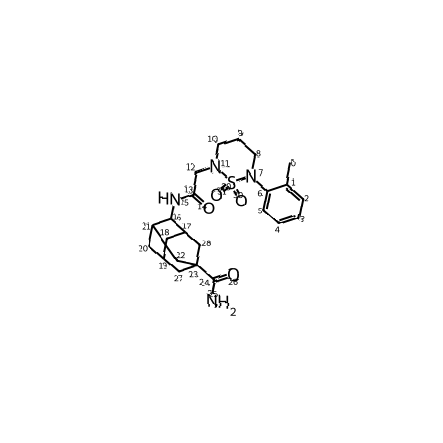 Cc1ccccc1N1CCCN(CC(=O)NC2C3CC4CC2CC(C(N)=O)(C4)C3)S1(=O)=O